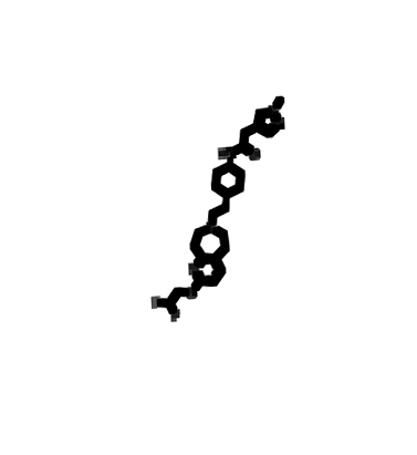 Cn1cc(CC(=O)N[C@H]2CC[C@H](CCN3CCc4ccc(OCC(F)F)nc4CC3)CC2)cn1